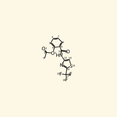 CC(=O)Oc1ccccc1C(=O)Nc1csc(C(F)(F)F)n1